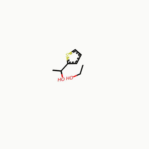 CC(O)c1cccs1.CCO